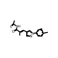 CC(=S)NC(=O)/C(C)=C/c1cnn(-c2ccc(C)cc2)c1